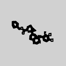 O=C(OCc1ccccc1)N1CCC2CC2(c2ccc3ncnc(Nc4ccc(Cl)c(Cl)c4F)c3c2)C1